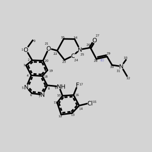 COc1cc2ncnc(Nc3cccc(Cl)c3F)c2cc1OC1CCN(C(=O)/C=C/CN(C)C)CC1